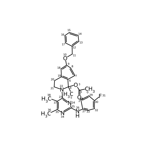 CC(=O)OC1(C)c2ccc(OCc3ccccc3)cc2CCN1c1nc(Nc2ccc(F)cc2)nc(C)c1C